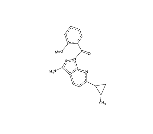 COc1ccccc1C(=O)n1nc(N)c2ccc(C3CC3C)nc21